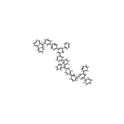 c1ccc(-c2cc(-c3cnc(-c4cccc(-n5c6ccccc6c6ccccc65)c4)nc3)cc(-c3cccc(-c4cccc5c4c4ccccc4n5-c4ccc(-c5cccc(-c6cc(-c7ccccc7)nc(-c7ccccc7)n6)n5)cc4)c3)n2)cc1